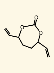 C=CC1CCC(C=C)OC(=O)O1